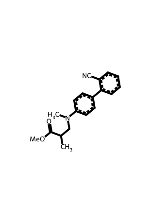 COC(=O)C(C)CN(C)c1ccc(-c2ccccc2C#N)cc1